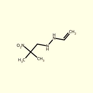 C=CNNCC(C)(C)[N+](=O)[O-]